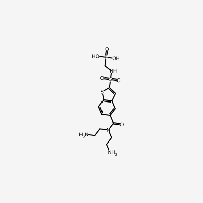 NCCN(CCN)C(=O)c1ccc2sc(S(=O)(=O)NCP(=O)(O)O)cc2c1